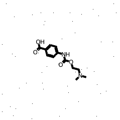 CN(C)CCOC(=O)Nc1ccc(C(=O)O)cc1